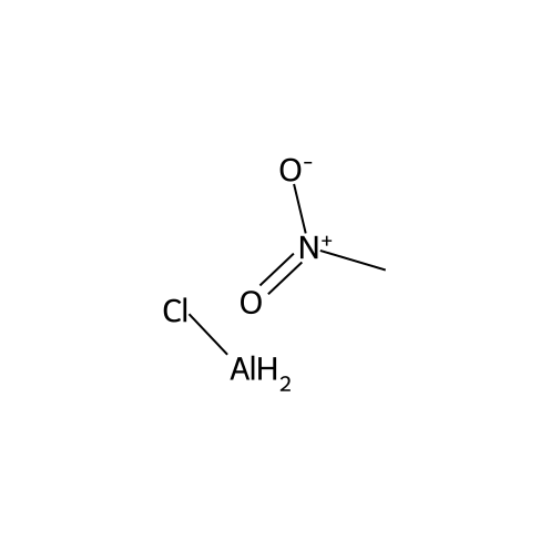 C[N+](=O)[O-].[AlH2][Cl]